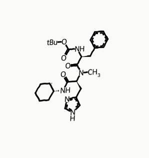 CN(C(=O)[C@H](Cc1ccccc1)NC(=O)OC(C)(C)C)[C@@H](Cc1c[nH]cn1)C(=O)N[C@H]1[CH]CCCC1